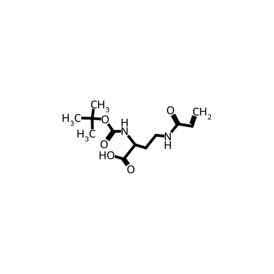 C=CC(=O)NCCC(NC(=O)OC(C)(C)C)C(=O)O